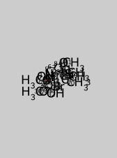 COC(=O)N1CCc2cc(OC)c(O[Si](C)(C)C(C)(C)C)cc2[C@H]1Cc1ccc(OC)c(O)c1Br